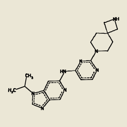 CC(C)n1cnc2cnc(Nc3ccnc(N4CCC5(CC4)CNC5)n3)cc21